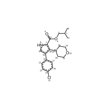 CC(C)COC(=O)c1[nH]cc(-c2ccc(Cl)cc2)c1N1CCOCC1